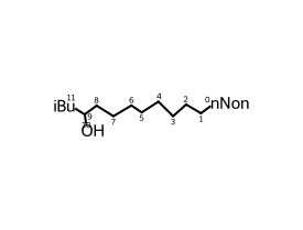 CCCCCCCCCCCCCCCCCC(O)C(C)CC